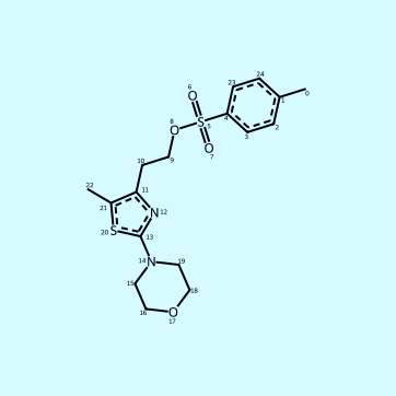 Cc1ccc(S(=O)(=O)OCCc2nc(N3CCOCC3)sc2C)cc1